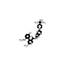 COc1ccc(Cl)cc1-c1cc(C)ncc1C(=O)Nc1nc2ncc(N3CCC(C(C)(C)O)CC3)nc2s1